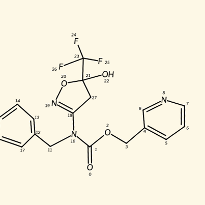 O=C(OCc1cccnc1)N(Cc1ccccc1)C1=NOC(O)(C(F)(F)F)C1